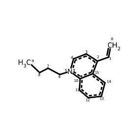 C=Cc1cc[n+](CCCC)c2ccccc12